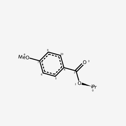 [CH2][C@H](C)OC(=O)c1ccc(OC)cc1